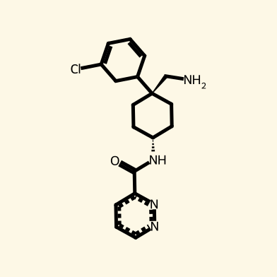 NC[C@]1(C2C=CC=C(Cl)C2)CC[C@@H](NC(=O)c2cccnn2)CC1